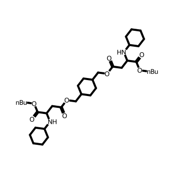 CCCCOC(=O)C(CC(=O)OCC1CCC(COC(=O)CC(NC2CCCCC2)C(=O)OCCCC)CC1)NC1CCCCC1